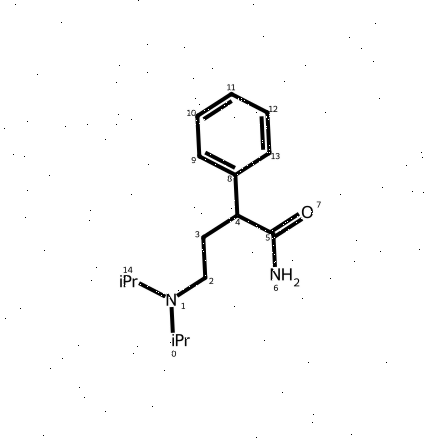 CC(C)N(CCC(C(N)=O)c1ccccc1)C(C)C